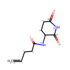 C=CCCC(=O)NC1CCC(=O)NC1=O